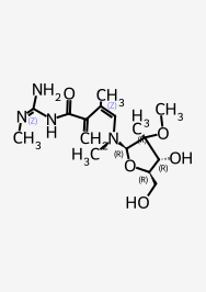 C=C(C(=O)N/C(N)=N\C)/C(C)=C\N(C)[C@@H]1O[C@H](CO)[C@@H](O)[C@@]1(C)OC